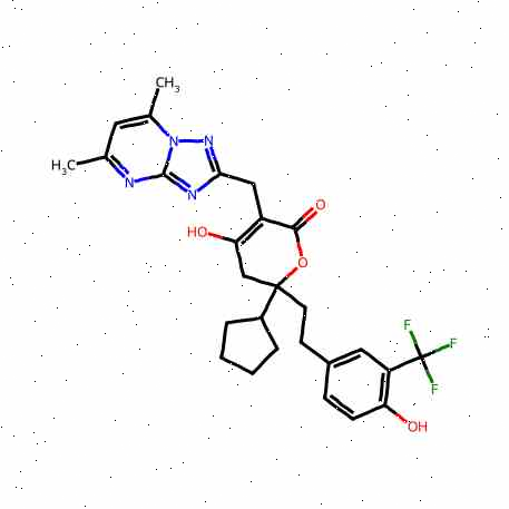 Cc1cc(C)n2nc(CC3=C(O)CC(CCc4ccc(O)c(C(F)(F)F)c4)(C4CCCC4)OC3=O)nc2n1